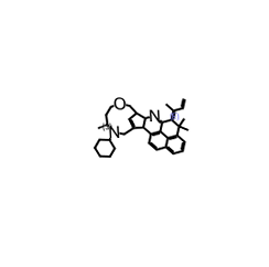 C=C/C(C)=C1/C2=NC3C4C=C(CN(C5CCCCC5)[C@@H](C)CCOC4)C3c3ccc4cccc(c4c32)C1(C)C